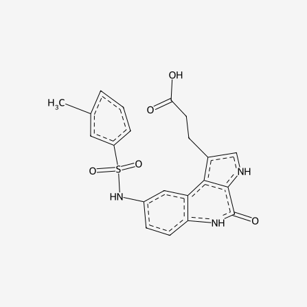 Cc1cccc(S(=O)(=O)Nc2ccc3[nH]c(=O)c4[nH]cc(CCC(=O)O)c4c3c2)c1